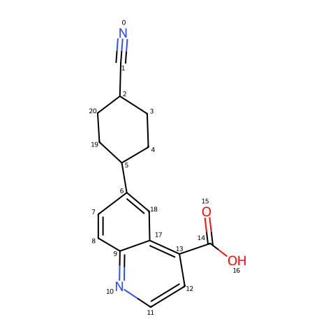 N#CC1CCC(c2ccc3nccc(C(=O)O)c3c2)CC1